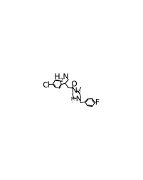 C[C@@H]1CN(C(=O)CC(CN)c2ccc(Cl)cc2)[C@@H](C)CN1Cc1ccc(F)cc1